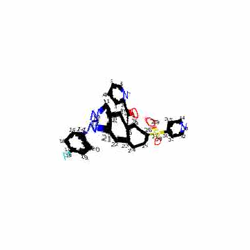 O=C(c1ccccn1)[C@]12Cc3cnn(-c4ccc(F)cc4)c3C=C1CC[C@H](S(=O)(=O)c1ccncc1)C2